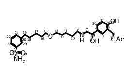 CC(=O)OCc1cc([C@@H](O)CNCCCCCOCCCCCc2cccc(S(N)(=O)=O)c2)ccc1O